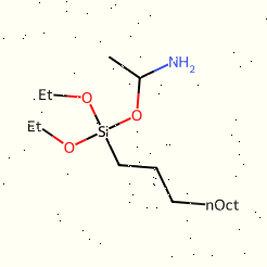 CCCCCCCCCCC[Si](OCC)(OCC)OC(C)N